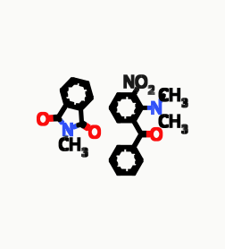 CN(C)c1c(C(=O)c2ccccc2)cccc1[N+](=O)[O-].CN1C(=O)c2ccccc2C1=O